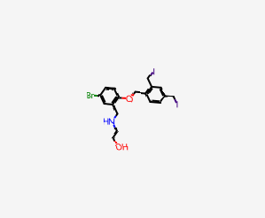 OCCNCc1cc(Br)ccc1OCc1ccc(CI)cc1CI